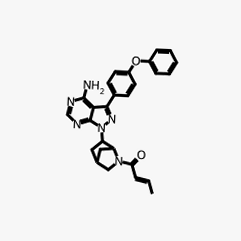 C/C=C/C(=O)N1CC2CC1C(n1nc(-c3ccc(Oc4ccccc4)cc3)c3c(N)ncnc31)C2